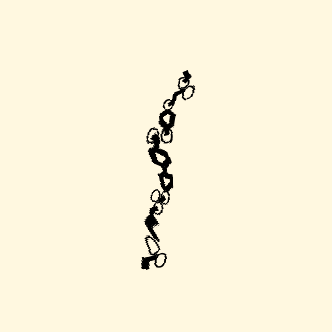 C=COC(=O)CCOc1ccc(OC(=O)c2ccc(-c3ccc(OC(=O)OCCCCOC(=O)C=C)cc3)cc2)cc1